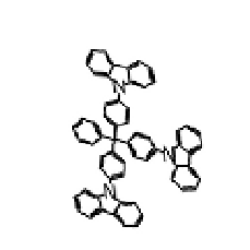 C1=CCC2C(=C1)c1ccccc1N2c1ccc(C(c2ccccc2)(c2ccc(-n3c4ccccc4c4ccccc43)cc2)c2ccc(-n3c4ccccc4c4ccccc43)cc2)cc1